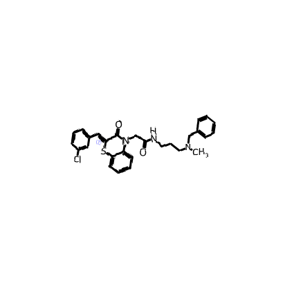 CN(CCCNC(=O)CN1C(=O)/C(=C/c2cccc(Cl)c2)Sc2ccccc21)Cc1ccccc1